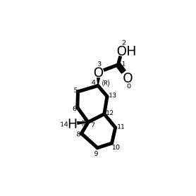 O=C(O)O[C@@H]1CC[C@H]2CCCCC2C1